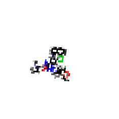 C=CC(=O)[C@@H]1[C@@H]2CN(c3nc(OC[C@@H]4CCCN4C)nc4c3CCN(c3cccc5cccc(Cl)c35)C4)C[C@@H]21